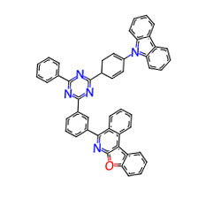 C1=CC(c2nc(-c3ccccc3)nc(-c3cccc(-c4nc5oc6ccccc6c5c5ccccc45)c3)n2)CC=C1n1c2ccccc2c2ccccc21